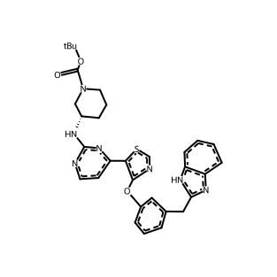 CC(C)(C)OC(=O)N1CCC[C@H](Nc2nccc(-c3scnc3Oc3cccc(Cc4nc5ccccc5[nH]4)c3)n2)C1